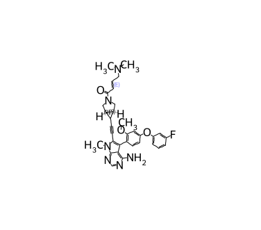 COc1cc(Oc2cccc(F)c2)ccc1-c1c(C#CC2[C@H]3CN(C(=O)/C=C/CN(C)C)C[C@@H]23)n(C)c2ncnc(N)c12